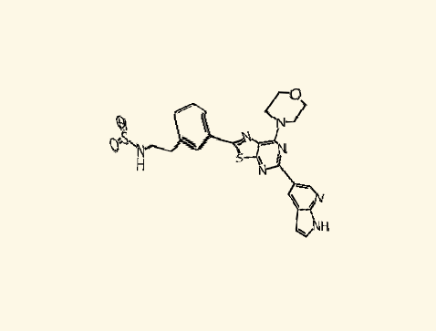 O=[SH](=O)NCCc1cccc(-c2nc3c(N4CCOCC4)nc(-c4cnc5[nH]ccc5c4)nc3s2)c1